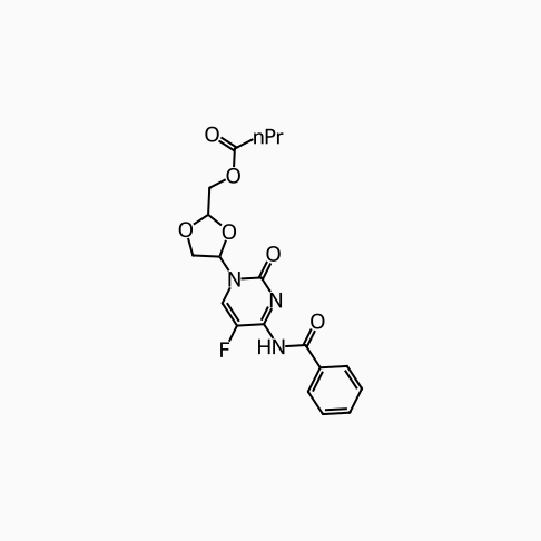 CCCC(=O)OCC1OCC(n2cc(F)c(NC(=O)c3ccccc3)nc2=O)O1